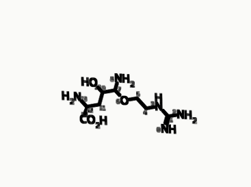 N=C(N)NCCOC(N)C(O)C[C@H](N)C(=O)O